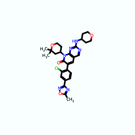 Cc1nc(-c2ccc(-c3cc4cnc(NC5CCOCC5)nc4n(C4CCOC(C)(C)C4)c3=O)c(Cl)c2)no1